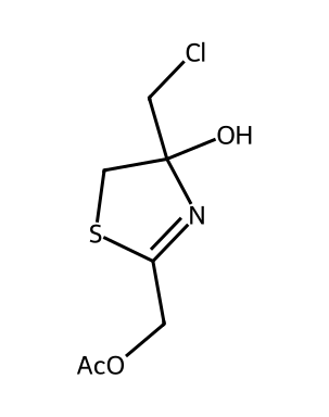 CC(=O)OCC1=NC(O)(CCl)CS1